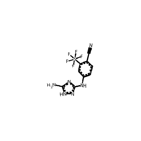 N#Cc1ccc(Nc2n[nH]c(N)n2)cc1S(F)(F)(F)(F)F